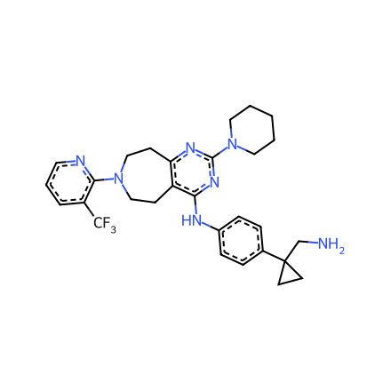 NCC1(c2ccc(Nc3nc(N4CCCCC4)nc4c3CCN(c3ncccc3C(F)(F)F)CC4)cc2)CC1